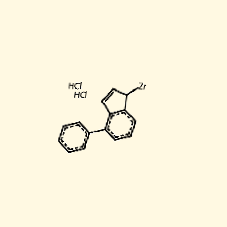 Cl.Cl.[Zr][CH]1C=Cc2c(-c3ccccc3)cccc21